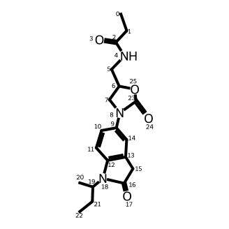 CCC(=O)NCC1CN(c2ccc3c(c2)CC(=O)N3C(C)CC)C(=O)O1